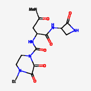 CCN1CCN(C(=O)NC(CC(=O)NC)C(=O)NC2CNC2=O)C(=O)C1=O